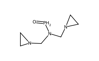 O=[PH2]N(CN1CC1)CN1CC1